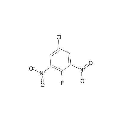 O=[N+]([O-])c1cc(Cl)cc([N+](=O)[O-])c1F